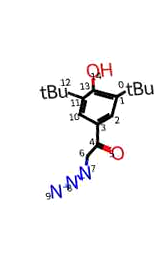 CC(C)(C)c1cc(C(=O)CN=[N+]=[N-])cc(C(C)(C)C)c1O